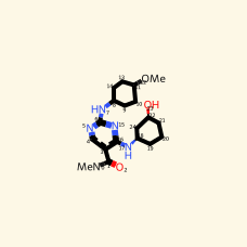 CNC(=O)c1cnc(NC2CCC(OC)CC2)nc1N[C@@H]1CCC[C@H](O)C1